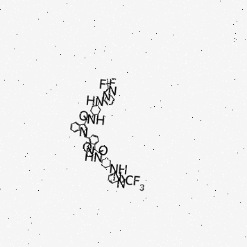 CC(F)(F)c1cn2c(NC3CCC(NC(=O)c4cn(Cc5cccc6c(C(=O)N[C@H]7CC[C@@H](Nc8cccc9nc(C(F)(F)F)cn89)CC7)noc56)c5ccccc45)CC3)cccc2n1